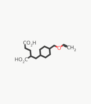 C=COCC1CCC(CC(CCC(=O)O)C(=O)O)CC1